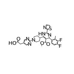 COC(=O)C1=C(C2CCN(c3ncc(CC(=O)O)cn3)CC2)NC(c2nccs2)=NC1c1ccc(F)c(F)c1C